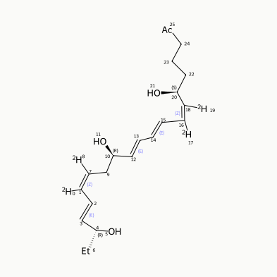 [2H]C(/C=C/[C@H](O)CC)=C(\[2H])C[C@@H](O)/C=C/C=C/C([2H])=C(/[2H])[C@@H](O)CCCC(C)=O